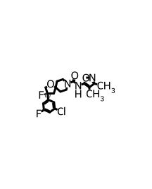 Cc1noc(NC(=O)N2CCC3(CC2)C[C@](F)(c2cc(F)cc(Cl)c2)CO3)c1C